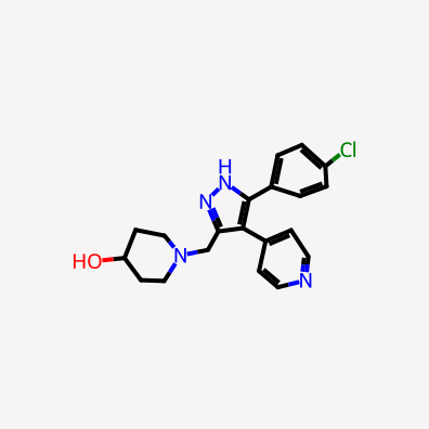 OC1CCN(Cc2n[nH]c(-c3ccc(Cl)cc3)c2-c2ccncc2)CC1